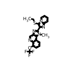 CCSc1c(-c2nc3cnc4c(OC(F)(F)F)cccc4c3n2C)nc2ccccn12